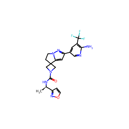 C[C@@H](NC(=O)N1CC2(CCn3nc(-c4cnc(N)c(C(F)(F)F)c4)cc32)C1)c1ccon1